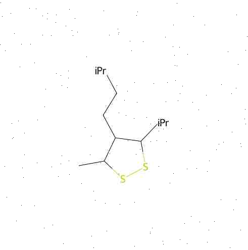 CC(C)CCC1C(C)SSC1C(C)C